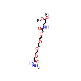 CCOC(CCNC(=O)COCCOCCOCCOCC(=O)NN)OCC